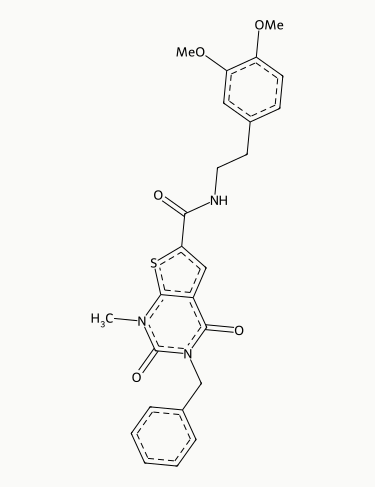 COc1ccc(CCNC(=O)c2cc3c(=O)n(Cc4ccccc4)c(=O)n(C)c3s2)cc1OC